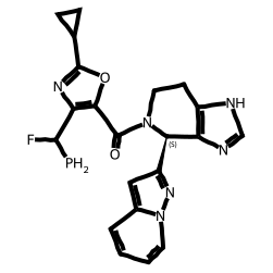 O=C(c1oc(C2CC2)nc1C(F)P)N1CCc2[nH]cnc2[C@H]1c1cc2ccccn2n1